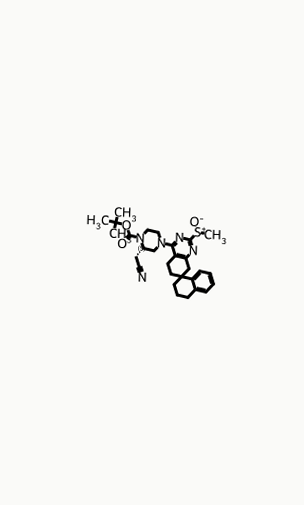 C[S+]([O-])c1nc2c(c(N3CCN(C(=O)OC(C)(C)C)[C@@H](CC#N)C3)n1)CCC1(CCCc3ccccc31)C2